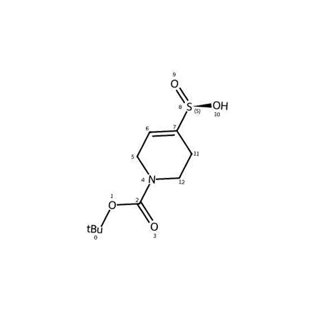 CC(C)(C)OC(=O)N1CC=C([S@@](=O)O)CC1